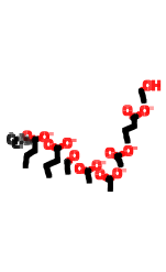 CC(=O)[O-].CC(=O)[O-].CC(=O)[O-].CC=O.CCCC(=O)[O-].CCCC(=O)[O-].CCCC(=O)[O-].CCO.[Cr+3].[Cr+3]